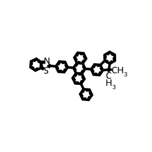 CC1(C)c2ccccc2-c2cc(-c3c4ccccc4c(-c4ccc(-c5nc6ccccc6s5)cc4)c4ccc(-c5ccccc5)cc34)ccc21